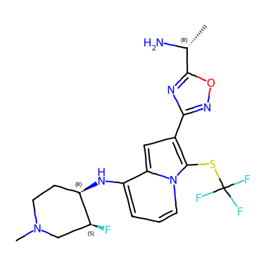 C[C@@H](N)c1nc(-c2cc3c(N[C@@H]4CCN(C)C[C@@H]4F)cccn3c2SC(F)(F)F)no1